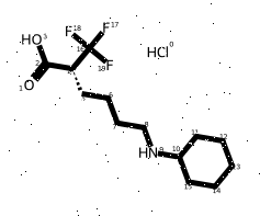 Cl.O=C(O)[C@@H](CCCCNC1CCCCC1)C(F)(F)F